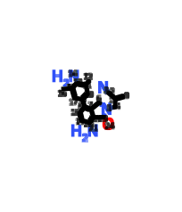 C=C(C#N)CN1Cc2c(-c3cc(C)c(N)c(C)c3)ccc(N)c2C1=O